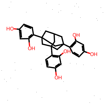 Oc1ccc(C23CC4CC(c5ccc(O)cc5O)(C2)CC(c2ccc(O)cc2O)(C4)C3)c(O)c1